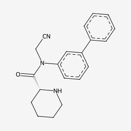 N#CCN(C(=O)[C@H]1CCCCN1)c1cccc(-c2ccccc2)c1